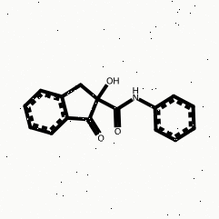 O=C(Nc1ccccc1)C1(O)Cc2ccccc2C1=O